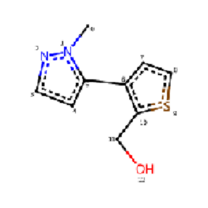 Cn1nccc1-c1ccsc1CO